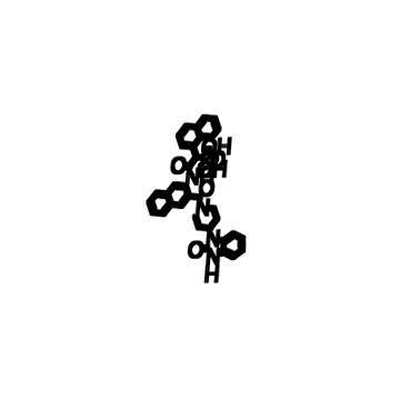 O=C(Nc1cc2ccccc2cc1C(=O)N1CCC(n2c(=O)[nH]c3ccccc32)CC1)C(c1cccc2ccccc12)P(=O)(O)O